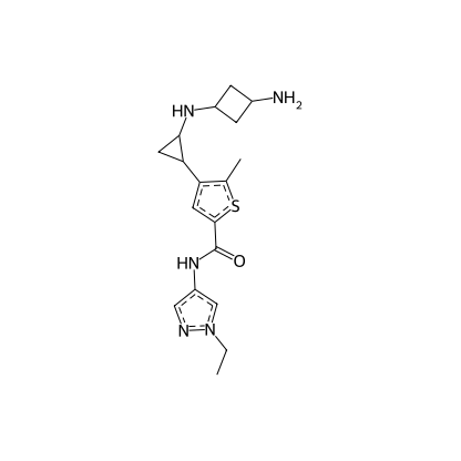 CCn1cc(NC(=O)c2cc(C3CC3NC3CC(N)C3)c(C)s2)cn1